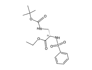 CCOC(=O)[C@H](CNC(=O)OC(C)(C)C)NS(=O)(=O)c1ccccc1